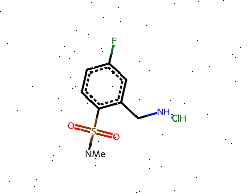 CNS(=O)(=O)c1ccc(F)cc1CN.Cl